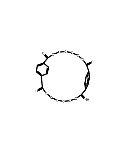 N=C1OCCCCOC(=O)c2ccc(cc2)C(=O)OCCCCOC(=O)c2ccc1cc2